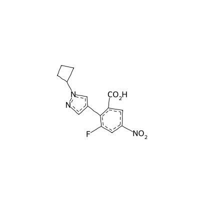 O=C(O)c1cc([N+](=O)[O-])cc(F)c1-c1cnn(C2CCC2)c1